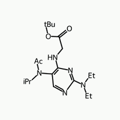 CCN(CC)c1ncc(N(C(C)=O)C(C)C)c(NCC(=O)OC(C)(C)C)n1